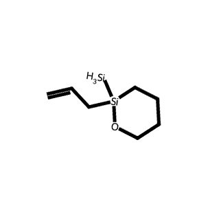 C=CC[Si]1([SiH3])CCCCO1